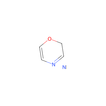 C1=COCC=N1.[N]